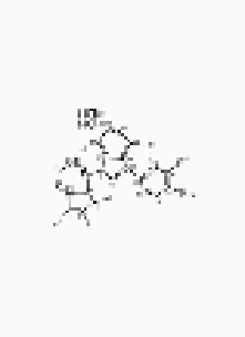 CC1=C(C)C(C)[C]([Zr]([CH]2C=C(c3ccc(F)c(F)c3F)c3ccccc32)=[Si](C)C)=C1C.Cl.Cl